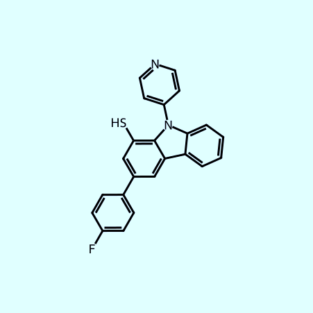 Fc1ccc(-c2cc(S)c3c(c2)c2ccccc2n3-c2ccncc2)cc1